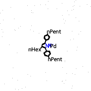 CCCCCCC1=C(c2ccc(CCCCC)cc2)[N+](=[N-])C(c2ccc(CCCCC)cc2)=C1.[Pd]